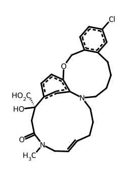 CN1C/C=C/CCCN2CCCCc3cc(Cl)ccc3COc3ccc(cc32)[C@@](O)(C(=O)O)CC1=O